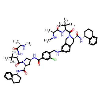 CN[C@@H](C)C(=O)N[C@H](C(=O)N1Cc2cc(NCc3ccc(C(=O)N[C@H]4C[C@@H](C(=O)N[C@@H]5CCCc6ccccc65)N(C(=O)[C@@H](NC(=O)[C@H](C)NC)C(C)(C)C)C4)cc3Cl)ccc2C[C@H]1C(=O)N[C@@H]1CCCc2ccccc21)C(C)(C)C